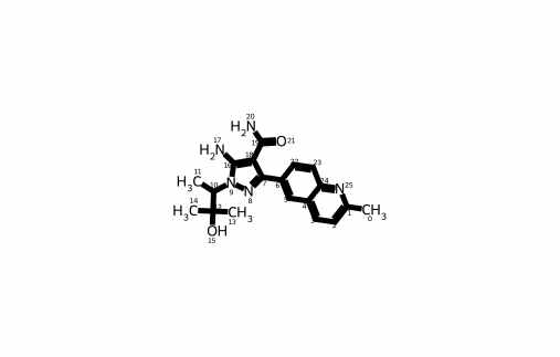 Cc1ccc2cc(-c3nn(C(C)C(C)(C)O)c(N)c3C(N)=O)ccc2n1